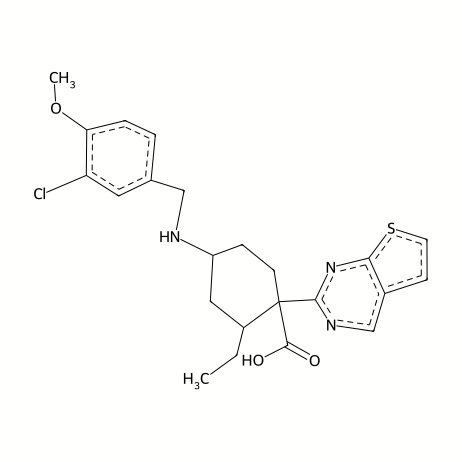 CCC1CC(NCc2ccc(OC)c(Cl)c2)CCC1(C(=O)O)c1ncc2ccsc2n1